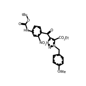 CCOC(=O)c1c(C(=O)c2ccc(NC(=O)OC(C)(C)C)cc2[N+](=O)[O-])nnn1Cc1ccc(OC)cc1